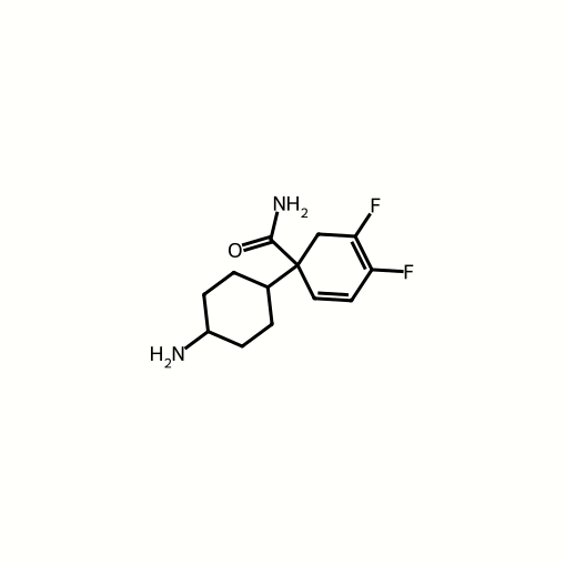 NC(=O)C1(C2CCC(N)CC2)C=CC(F)=C(F)C1